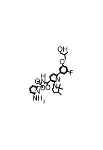 CC(CO)COc1cc(F)cc(-c2ccc(C(=O)NS(=O)(=O)c3cccc(N)n3)c(N3CCC(C)C3(C)C)n2)c1